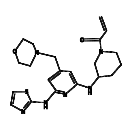 C=CC(=O)N1CCCC(Nc2cc(CN3CCOCC3)cc(Nc3nccs3)n2)C1